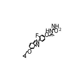 C[C@@H](COc1ccc(-n2cc3ccc(OCC4CC4)cc3n2)c(F)c1)NC(N)=O